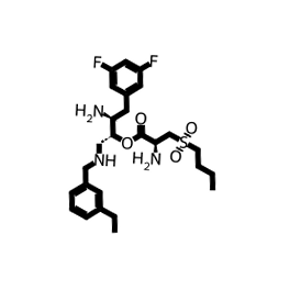 CCCCS(=O)(=O)C[C@@H](N)C(=O)O[C@H](CNCc1cccc(CC)c1)[C@@H](N)Cc1cc(F)cc(F)c1